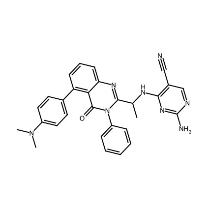 CC(Nc1nc(N)ncc1C#N)c1nc2cccc(-c3ccc(N(C)C)cc3)c2c(=O)n1-c1ccccc1